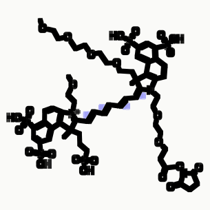 COCCOCCOCCOCCC1(C)\C(=C/C=C/C=C/C=C/C2=[N+](CCOC)c3ccc4c(S(=O)(=O)O)cc(S(=O)(=O)O)cc4c3C2(C)CCCS(=O)(=O)O)N(CCOCCOCCC(=O)ON2C(=O)CCC2=O)c2ccc3c(S(=O)(=O)O)cc(S(=O)(=O)O)cc3c21